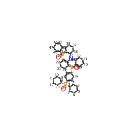 O=P(c1ccccc1)(c1ccccc1)c1ccc2c(c1)-c1ccc3c4c1P2(=O)c1ccccc1N4c1ccccc1P3(=O)c1ccccc1